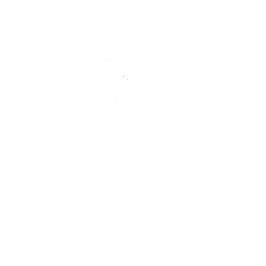 CC(=O)CC(=O)OC1CC(C)(C)N(O)C(C)(C)C1